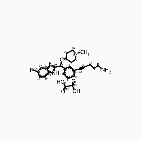 CN1CCC(OC(c2cccc(C#CCCCN)c2)c2nc3cc(F)ccc3[nH]2)CC1.O=C(O)C(=O)O